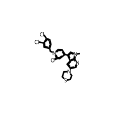 Cn1cc(-c2ccn(Cc3ccc(Cl)c(Cl)c3)c(=O)c2)c2cc(N3CCSCC3)cnc21